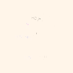 CC(O)C(N)C(=O)O.NC(CCC(=O)O)C(=O)O.NCCCCC(N)C(=O)O.O=C(O)CC(O)(CC(=O)O)C(=O)O